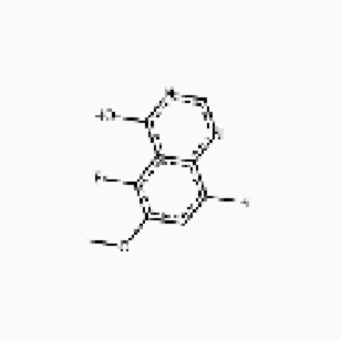 COc1cc(Br)c2ncnc(O)c2c1F